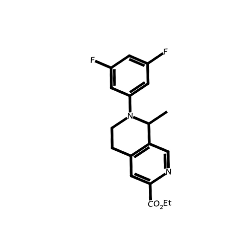 CCOC(=O)c1cc2c(cn1)C(C)N(c1cc(F)cc(F)c1)CC2